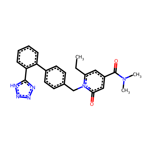 CCc1cc(C(=O)N(C)C)cc(=O)n1Cc1ccc(-c2ccccc2-c2nnn[nH]2)cc1